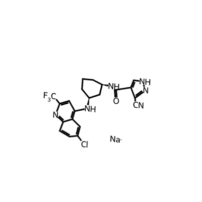 N#Cc1n[nH]cc1C(=O)N[C@@H]1CCC[C@H](Nc2cc(C(F)(F)F)nc3ccc(Cl)cc23)C1.[Na]